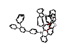 c1ccc(-c2ccc(-c3ccc(N(c4ccc(-c5ccccc5-n5c6ccccc6c6ccccc65)cc4)c4ccccc4-c4ccc5oc6c7ccccc7ccc6c5c4)cc3)cc2-c2ccccc2)cc1